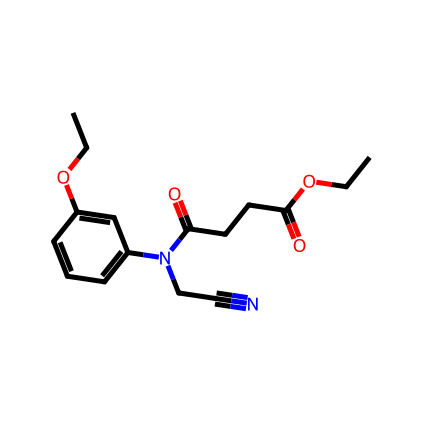 CCOC(=O)CCC(=O)N(CC#N)c1cccc(OCC)c1